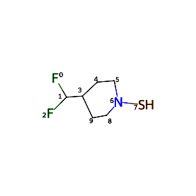 FC(F)C1CCN(S)CC1